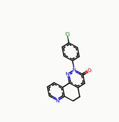 O=c1cc2c(nn1-c1ccc(Cl)cc1)-c1cccnc1CC2